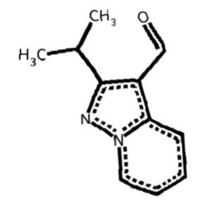 CC(C)c1nn2ccccc2c1C=O